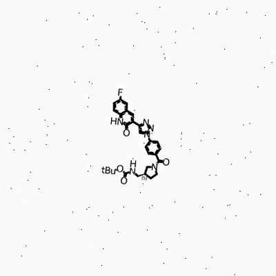 CC(C)(C)OC(=O)NC[C@@H]1CCN(C(=O)c2ccc(-n3cc(-c4cc5cc(F)ccc5[nH]c4=O)nn3)cc2)C1